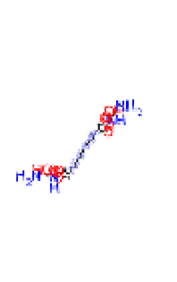 CC1=C(/C=C/C(C)=C/C=C/C(C)=C/C=C/C=C(C)/C=C/C=C(C)/C=C/C2=C(C)C(=O)C(OC(=O)NC(CCCCN)C(=O)O)CC2(C)C)C(C)(C)CC(OC(=O)NC(CCCCN)C(=O)O)C1=O